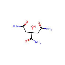 NC(=O)CC(O)(CC(N)=O)C(N)=O